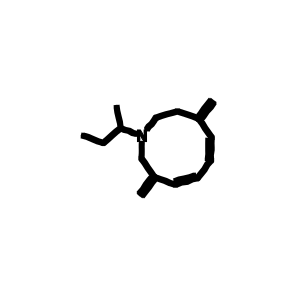 C=C1/C=C\C=C/C(=C)CN(C(C)CC)CC1